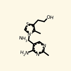 Cc1ncc(C[n+]2csc(CCO)c2C)c(N)n1.N